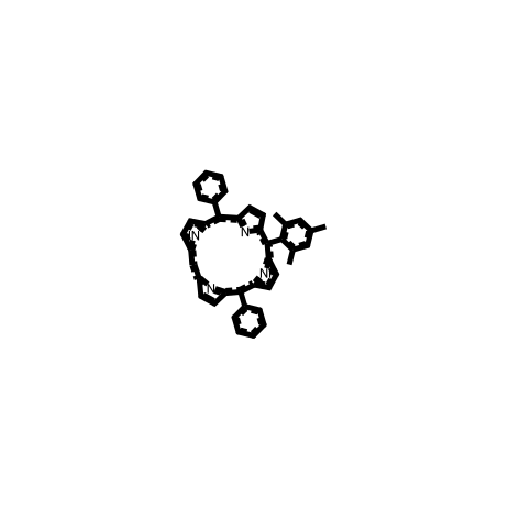 Cc1cc(C)c(-c2c3nc(c(-c4ccccc4)c4ccc(cc5nc(c(-c6ccccc6)c6ccc2[nH]6)C=C5)[nH]4)C=C3)c(C)c1